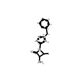 CC1C(N)C(=O)N1c1nnn(Cc2ccccc2)n1